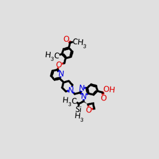 CC(=O)c1ccc(COc2cccc(C3CCN(Cc4nc5ccc(C(=O)O)cc5n4C(C(C)[SiH3])[C@@H]4CCO4)CC3)n2)c(C)c1